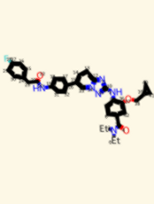 CCN(CC)C(=O)c1ccc(Nc2nc3ccc(-c4ccc(NC(=O)Cc5ccc(F)cc5)cc4)cn3n2)c(OCC2CC2)c1